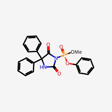 COP(=O)(Oc1ccccc1)N1C(=O)NC(c2ccccc2)(c2ccccc2)C1=O